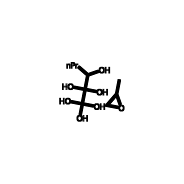 CC1CO1.CCCC(O)C(O)(O)C(O)(O)O